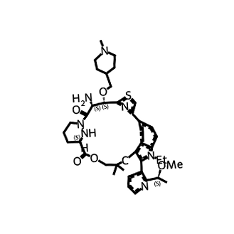 CCn1c(-c2cccnc2[C@H](C)OC)c2c3cc(ccc31)-c1csc(n1)[C@@H](OCC1CCN(C)CC1)[C@H](N)C(=O)N1CCC[C@H](N1)C(=O)OCC(C)(C)C2